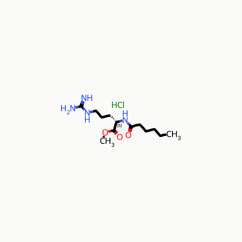 CCCCCC(=O)N[C@@H](CCCNC(=N)N)C(=O)OC.Cl